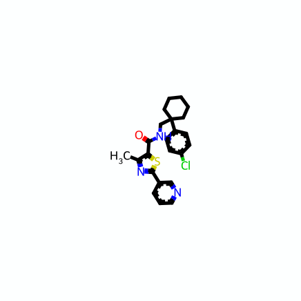 Cc1nc(-c2cccnc2)sc1C(=O)NCC1(c2ccc(Cl)cc2)CCCCC1